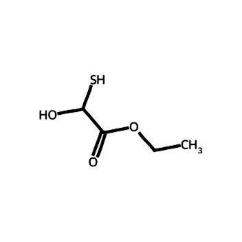 CCOC(=O)C(O)S